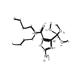 CCCCN(CCCC)C(=O)c1sc(N)nc1C(OC)(OC)OC